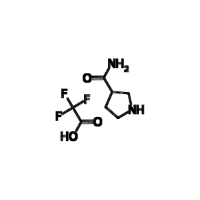 NC(=O)C1CCNC1.O=C(O)C(F)(F)F